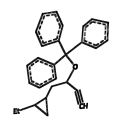 C#CC(CC1CC1CC)OC(c1ccccc1)(c1ccccc1)c1ccccc1